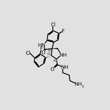 NCCCNC(=O)[C@@H]1NC[C@]2(C(=O)Nc3cc(Cl)c(F)cc32)[C@H]1c1cccc(Cl)c1F